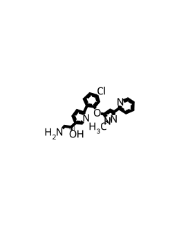 Cn1nc(-c2ccccn2)cc1Oc1cc(Cl)ccc1-c1ccc([C@H](O)CN)cn1